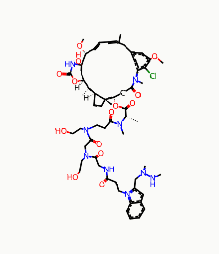 CNN(C)Cc1cc2ccccc2n1CCC(=O)NCC(=O)N(CCO)CC(=O)N(CCO)CCC(=O)N(C)[C@@H](C)C(=O)O[C@H]1CC(=O)N(C)c2cc(cc(OC)c2Cl)C/C(C)=C/C=C/[C@@H](OC)[C@@]2(O)C[C@H](OC(=O)N2)[C@@H](C)[C@@H]2CC[C@@]12C